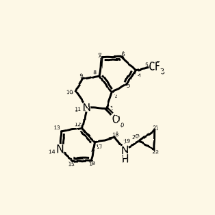 O=C1c2cc(C(F)(F)F)ccc2CCN1c1cnccc1CNC1CC1